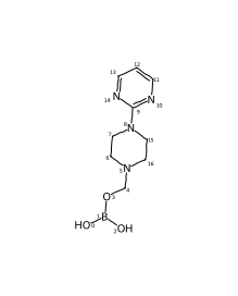 OB(O)OCN1CCN(c2ncccn2)CC1